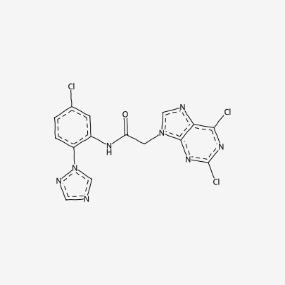 O=C(Cn1cnc2c(Cl)nc(Cl)nc21)Nc1cc(Cl)ccc1-n1cncn1